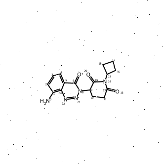 Nc1cccc2c(=O)n(C3CCC(=O)N(C4CCC4)C3=O)nnc12